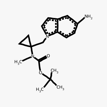 CN(C(=O)OC(C)(C)C)C1(Cn2ccc3cc(N)ccc32)CC1